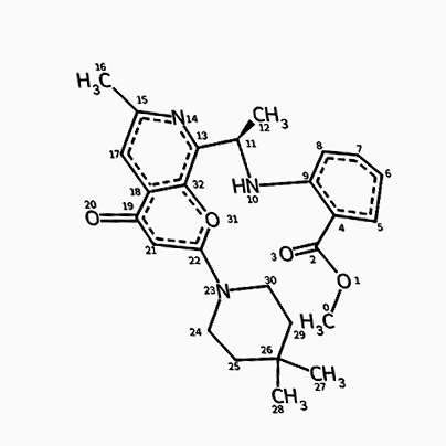 COC(=O)c1ccccc1N[C@H](C)c1nc(C)cc2c(=O)cc(N3CCC(C)(C)CC3)oc12